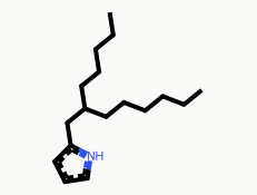 CCCCCCC(CCCCC)Cc1ccc[nH]1